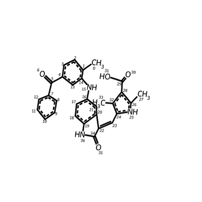 Cc1ccc(C(=O)c2ccccc2)cc1Nc1ccc2c(c1)C(=Cc1[nH]c(C)c(C(=O)O)c1C)C(=O)N2